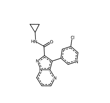 O=C(NC1CC1)c1nn2cccnc2c1-c1cncc(Cl)c1